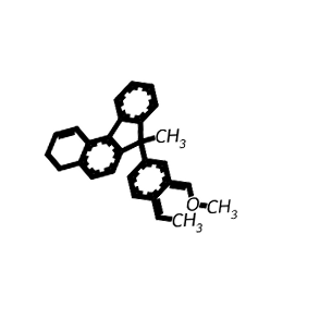 C/C=c1/ccc(C2(C)c3ccccc3-c3c2ccc2c3C=CCC2)c/c1=C/OC